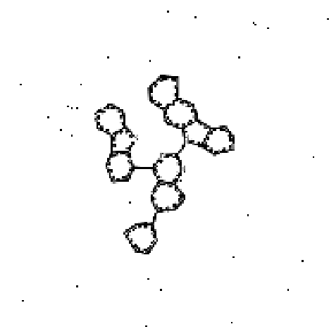 c1ccc(-c2ccc3nc(-n4c5ccccc5c5cc6ccccc6cc54)nc(-c4cccc5c4sc4ccccc45)c3c2)cc1